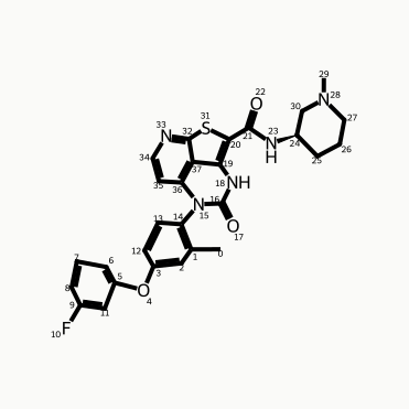 Cc1cc(Oc2cccc(F)c2)ccc1N1C(=O)Nc2c(C(=O)N[C@@H]3CCCN(C)C3)sc3nccc1c23